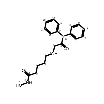 O=C(CCCCNCC(=O)N(c1ccccc1)c1ccccc1)NO